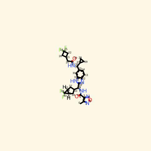 Cc1nonc1C(=O)N[C@H](c1nc2ccc([C@H](NC(=O)CC3CC(F)(F)C3)C3CC3)cc2[nH]1)C1C[C@@H]2[C@H](C1)C2(F)F